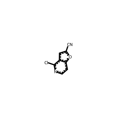 N#Cc1cc2c(Cl)nccc2o1